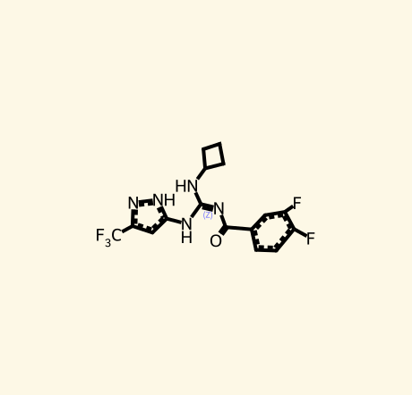 O=C(/N=C(\Nc1cc(C(F)(F)F)n[nH]1)NC1CCC1)c1ccc(F)c(F)c1